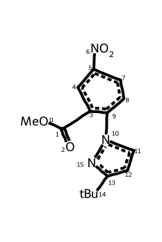 COC(=O)c1cc([N+](=O)[O-])ccc1-n1ccc(C(C)(C)C)n1